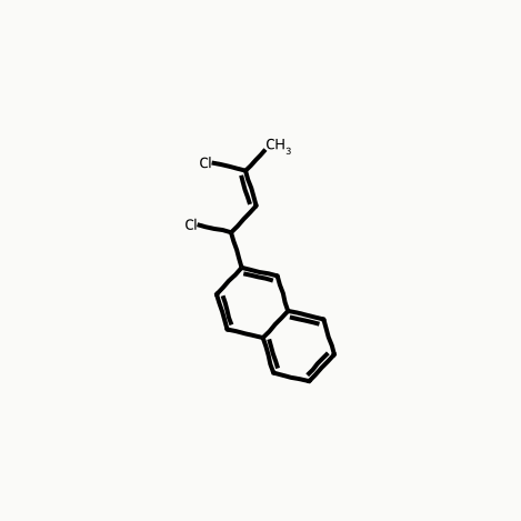 CC(Cl)=CC(Cl)c1ccc2ccccc2c1